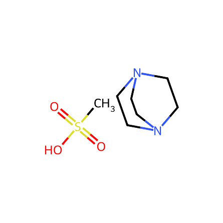 C1CN2CCN1CC2.CS(=O)(=O)O